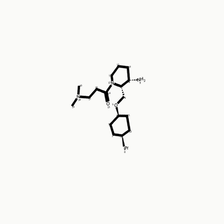 CC(C)[C@H]1CC[C@@H](OC[C@H]2[C@@H](N)CCCN2C(=O)CCN(C)C)CC1